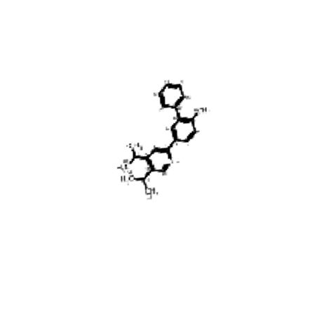 Cc1ccc(-c2cc(C(C)C)c(C(C)C)cn2)cc1-c1ccccc1